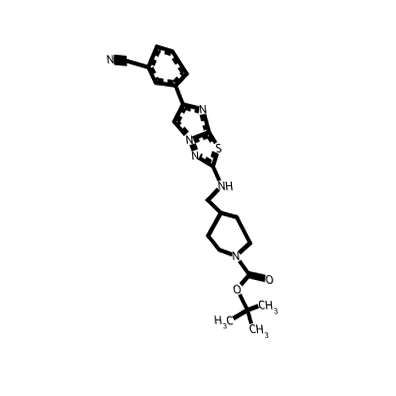 CC(C)(C)OC(=O)N1CCC(CNc2nn3cc(-c4cccc(C#N)c4)nc3s2)CC1